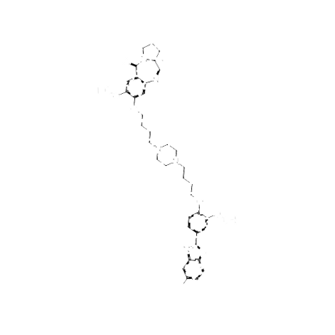 COc1cc(-c2nc3cc(F)ccc3s2)ccc1OCCCCN1CCN(CCCCOc2cc3c(cc2OC)C(=O)N2CCC[C@H]2C=N3)CC1